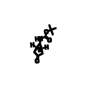 CC(C)(C)OC(=O)NC1[C@H]2CC(=O)C[C@@H]12